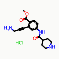 COC(=O)c1ccc(NC(=O)C2CCNCC2)cc1C#CCN.Cl